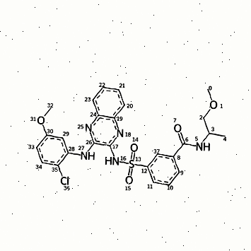 COCC(C)NC(=O)c1cccc(S(=O)(=O)Nc2nc3ccccc3nc2Nc2cc(OC)ccc2Cl)c1